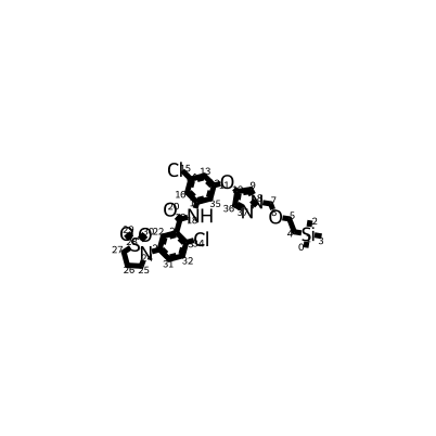 C[Si](C)(C)CCOCn1cc(Oc2cc(Cl)cc(NC(=O)c3cc(N4CCCS4(=O)=O)ccc3Cl)c2)cn1